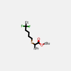 CCCC(SCCCCC(F)(F)CC)C(=O)OC(C)(C)C